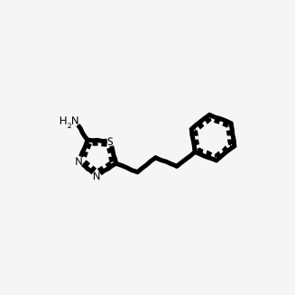 Nc1nnc(CCCc2ccccc2)s1